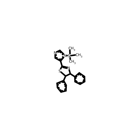 C[Si](C)(C)n1cncc1C1=NC(c2ccccc2)C(c2ccccc2)S1